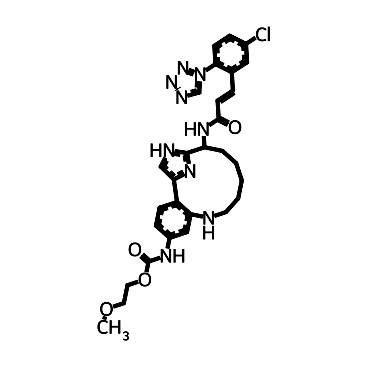 COCCOC(=O)Nc1ccc2c(c1)NCCCCCC(NC(=O)C=Cc1cc(Cl)ccc1-n1cnnn1)c1nc-2c[nH]1